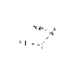 BrCI.[PbH2]